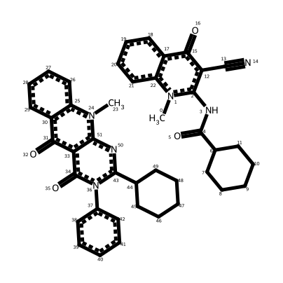 Cn1c(NC(=O)C2CCCCC2)c(C#N)c(=O)c2ccccc21.Cn1c2ccccc2c(=O)c2c(=O)n(-c3ccccc3)c(C3CCCCC3)nc21